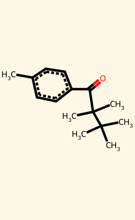 Cc1ccc(C(=O)C(C)(C)C(C)(C)C)cc1